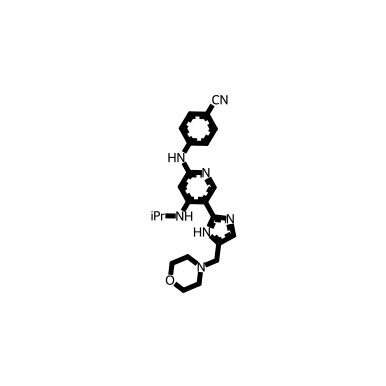 CC(C)Nc1cc(Nc2ccc(C#N)cc2)ncc1-c1ncc(CN2CCOCC2)[nH]1